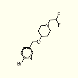 FC(F)CN1CCC(OCc2ccc(Br)nc2)CC1